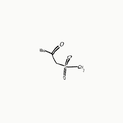 CCC(C)C(=O)CS(C)(=O)=O